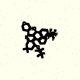 CC1(C)Cc2nc(C3CCOCC3)c([C@H](O)c3ccc(S(F)(F)(F)(F)F)cc3)c(C3=CCCC3)c2C(O[Si](C)(C)C(C)(C)C)C1